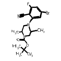 CC1CN(c2cc(Br)cc(F)c2C#N)C(C)CN1C(=O)OC(C)(C)C